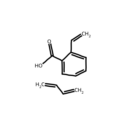 C=CC=C.C=Cc1ccccc1C(=O)O